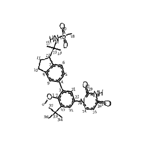 COc1c(-c2ccc3c(c2)CCC3C(C)(C)NS(C)(=O)=O)cc(-n2ccc(=O)[nH]c2=O)cc1C(C)(C)C